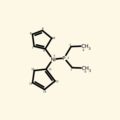 CC[P](CC)[Ni]([C]1=CC=CC1)[C]1=CC=CC1